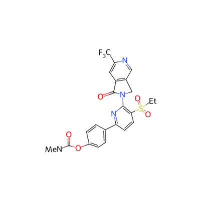 CCS(=O)(=O)c1ccc(-c2ccc(OC(=O)NC)cc2)nc1N1Cc2cnc(C(F)(F)F)cc2C1=O